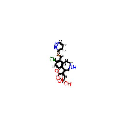 O=C(O)CC(C(=O)O)C1CNCCc2c1ccc(Cl)c2CSc1cccnn1